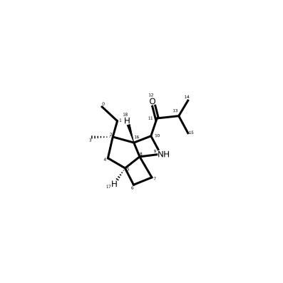 CC[C@]1(C)C[C@@H]2CCC23NC(C(=O)C(C)C)[C@H]31